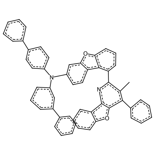 Cc1c(-c2cccc3oc4cc(N(c5ccc(-c6ccccc6)cc5)c5cccc(-c6ccccc6)c5)ccc4c23)nc2c(oc3ccccc32)c1-c1ccccc1